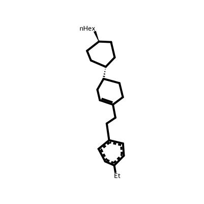 CCCCCC[C@H]1CC[C@H](C2CC=C(CCc3ccc(CC)cc3)CC2)CC1